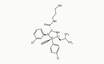 CC(C)C[C@@H]1N[C@@H](C(=O)NCCCO)[C@H](c2cccc(Cl)c2)[C@@]1(C#N)c1ccc(Cl)cc1